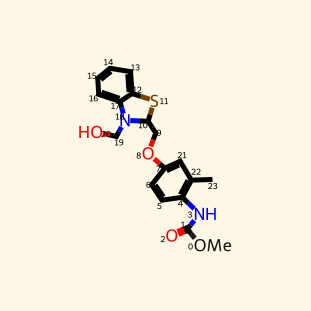 COC(=O)Nc1ccc(OCC2Sc3ccccc3N2CO)cc1C